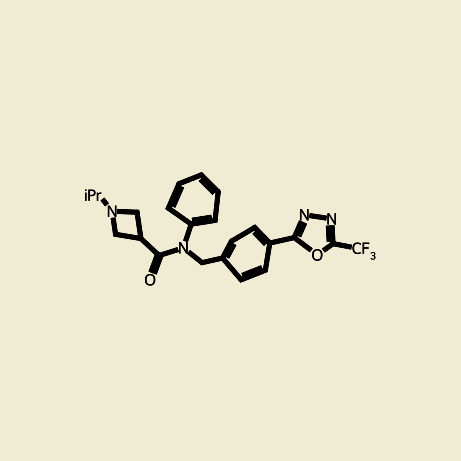 CC(C)N1CC(C(=O)N(Cc2ccc(-c3nnc(C(F)(F)F)o3)cc2)c2ccccc2)C1